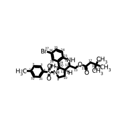 Cc1ccc(S(=O)(=O)N2CC[C@@H]3C(COC(=O)CC(C)(C)C)Nc4ccc(Br)cc4[C@@H]32)cc1